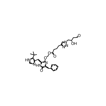 CC(C)(C)c1[nH]cnc1/C=c1\[nH]c(=O)/c(=C/c2ccccc2)nc1OCOC(=O)CCCc1cn(C[C@H](O)CC=O)nn1